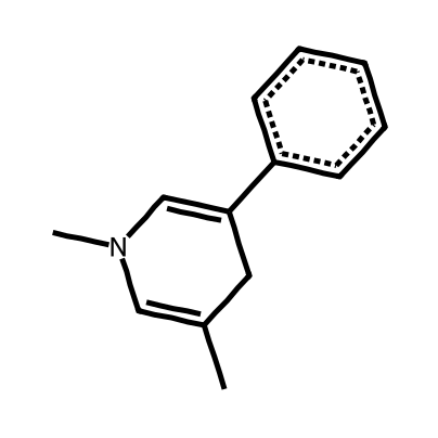 CC1=CN(C)C=C(c2ccccc2)C1